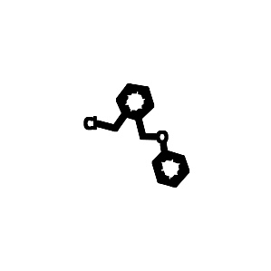 ClCc1ccccc1COc1ccccc1